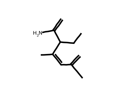 C=C(C)/C=C(/C)C(CC)C(=C)N